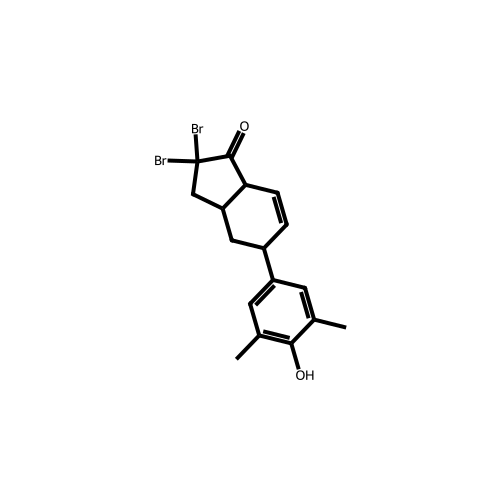 Cc1cc(C2C=CC3C(=O)C(Br)(Br)CC3C2)cc(C)c1O